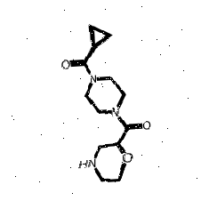 O=C(C1CC1)N1CCN(C(=O)C2CNCCO2)CC1